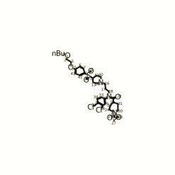 CCCCOCCOc1ccc(S(=O)(=O)C2CCN(CCCN(C(=O)C3CCN(S(C)(=O)=O)CC3)c3ccc(Cl)c(Cl)c3)CC2)cc1